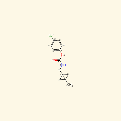 CC12CC1(CNC(=O)Oc1ccc(Cl)cc1)C2